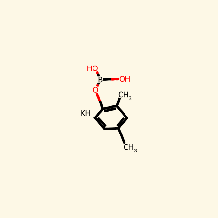 Cc1ccc(OB(O)O)c(C)c1.[KH]